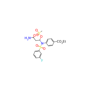 CCOC(=O)c1ccc(N(C(CC(N)=O)OS(C)(=O)=O)S(=O)(=O)c2cccc(F)c2)cc1